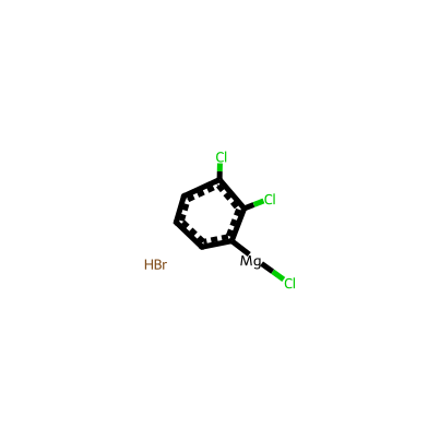 Br.[Cl][Mg][c]1cccc(Cl)c1Cl